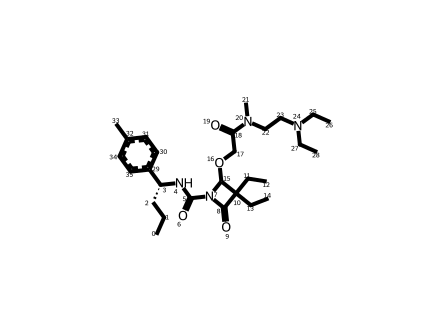 CCC[C@@H](NC(=O)N1C(=O)C(CC)(CC)C1OCC(=O)N(C)CCN(CC)CC)c1ccc(C)cc1